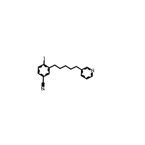 N#Cc1ccc(I)c(CCCCCc2cccnc2)c1